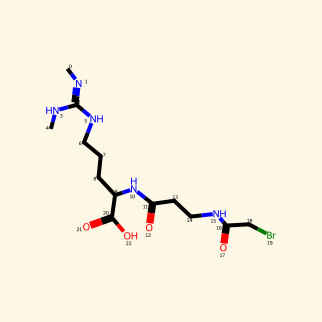 C/N=C(\NC)NCCCC(NC(=O)CCNC(=O)CBr)C(=O)O